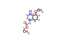 CCOC(=O)CN1CCNc2c(OC)cccc21